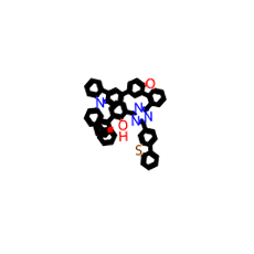 Oc1c(-c2ccccc2)cccc1-c1nc(-c2ccc3c(c2)sc2ccccc23)nc(-c2cccc3oc4ccc(-c5ccc6c(c5)c5ccccc5n6-c5cccc(-c6ccccc6)c5)cc4c23)n1